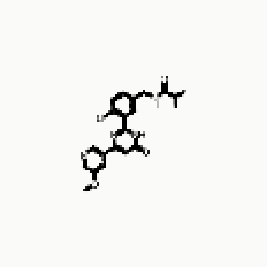 COc1cncc(-c2cc(=O)[nH]c(-c3cc(CNC(=O)C(C)C)ccc3Cl)n2)c1